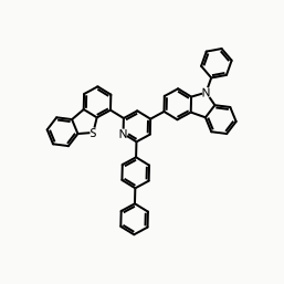 c1ccc(-c2ccc(-c3cc(-c4ccc5c(c4)c4ccccc4n5-c4ccccc4)cc(-c4cccc5c4sc4ccccc45)n3)cc2)cc1